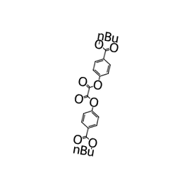 CCCCOC(=O)c1ccc(OC(=O)C(=O)Oc2ccc(C(=O)OCCCC)cc2)cc1